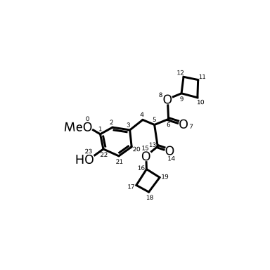 COc1cc(CC(C(=O)OC2CCC2)C(=O)OC2CCC2)ccc1O